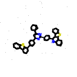 c1ccc(-c2cc(-c3ccc(-c4cccc5c4sc4ccccc45)cc3)nc(-c3ccc(-c4nc5ccccc5c5sc6ccccc6c45)cc3)n2)cc1